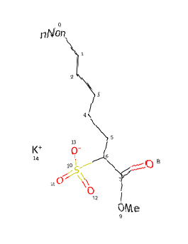 CCCCCCCCCCCCCCC(C(=O)OC)S(=O)(=O)[O-].[K+]